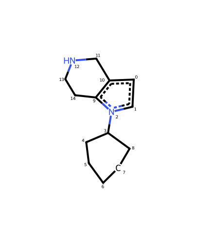 c1cn(C2CCCCC2)c2c1CNCC2